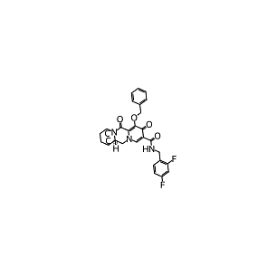 O=C(NCc1ccc(F)cc1F)c1cn2c(c(OCc3ccccc3)c1=O)C(=O)N1C3CCC(CC3)[C@H]1C2